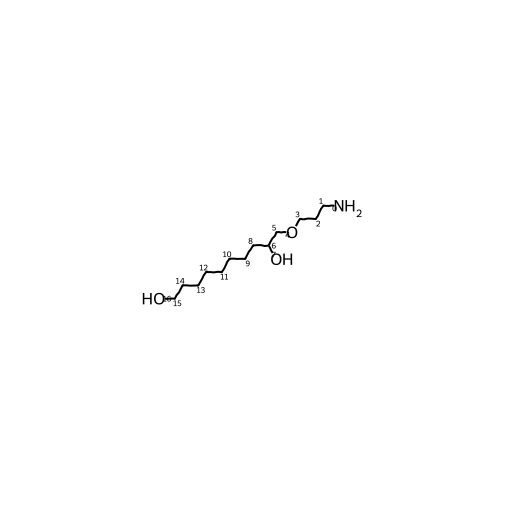 NCCCOCC(O)CCCCCCCCO